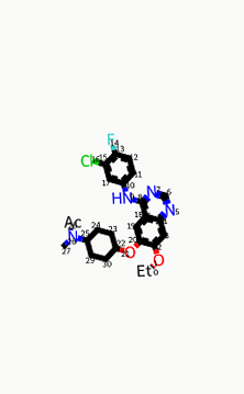 CCOc1cc2ncnc(Nc3ccc(F)c(Cl)c3)c2cc1OC1CCC(N(C)C(C)=O)CC1